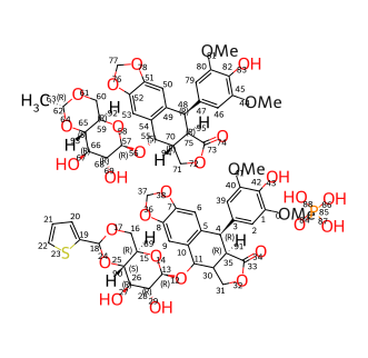 COc1cc([C@@H]2c3cc4c(cc3C(O[C@@H]3O[C@@H]5COC(c6cccs6)O[C@H]5[C@H](O)[C@H]3O)C3COC(=O)[C@@H]32)OCO4)cc(OC)c1O.COc1cc([C@@H]2c3cc4c(cc3[C@@H](O[C@@H]3O[C@@H]5CO[C@@H](C)O[C@H]5[C@H](O)[C@H]3O)[C@H]3COC(=O)[C@H]23)OCO4)cc(OC)c1O.O=P(O)(O)O